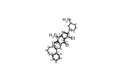 CCn1c(N2CCCC(N)C2)nc2c1c(=O)n(CC1=NCCSc3ccccc31)c(=O)n2C